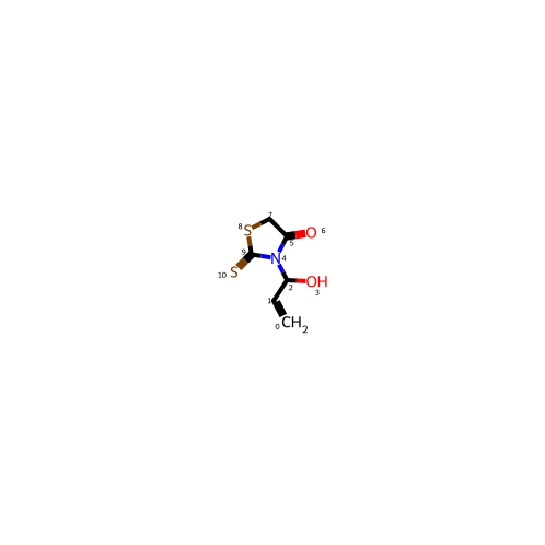 C=CC(O)N1C(=O)CSC1=S